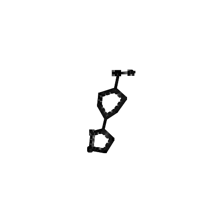 CC(C)Nc1ccc(-c2ccon2)cc1